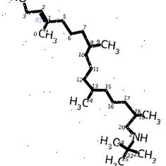 C/C(=C\CO)CCCC(C)CCCC(C)CCCC(C)CNC(C)(C)C